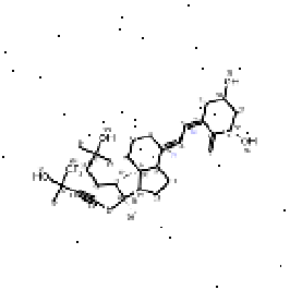 C=C1/C(=C\C=C2/CCC[C@@]3(C)C2CCC3[C@@](C)(CC#CC(C)(O)C(F)(F)F)CCCC(C)(C)O)CC(O)C[C@@H]1O